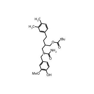 COc1cc(CN(CC(CCc2ccc(C)c(C)c2)COC(=O)C(C)(C)C)C(N)=O)ccc1O